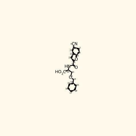 N#Cc1ccc2oc(C(=O)NC(COCc3ccccc3)C(=O)O)cc2c1